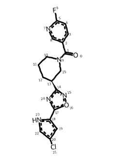 O=C(c1ccc(F)nc1)N1CCC[C@H](c2noc(-c3cc(Cl)c[nH]3)n2)C1